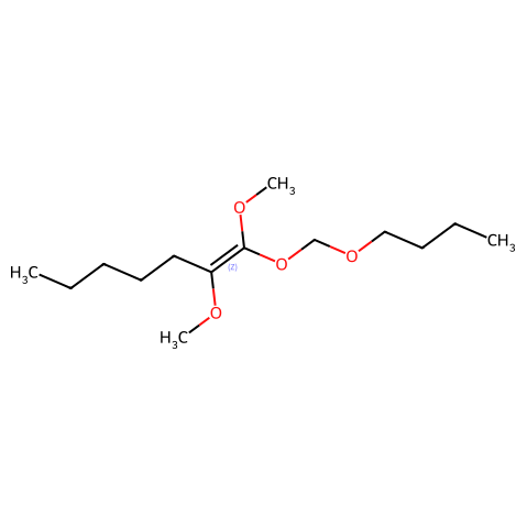 CCCCC/C(OC)=C(\OC)OCOCCCC